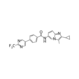 Cc1c(C2CC2)nc2ccc(NC(=O)c3ccc(-c4cnc(C(F)(F)F)nc4)cc3)cn12